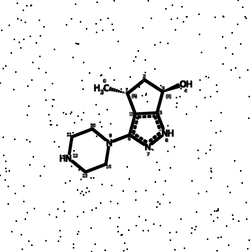 C[C@@H]1C[C@@H](O)c2[nH]nc(N3CCNCC3)c21